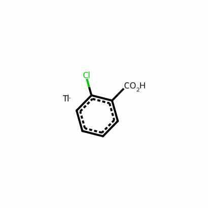 O=C(O)c1ccccc1Cl.[Tl]